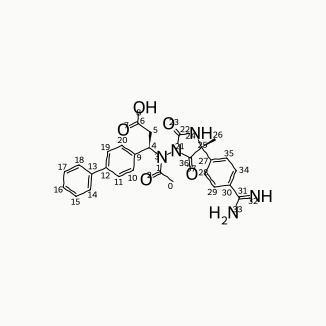 CC(=O)N([C@H](CC(=O)O)c1ccc(-c2ccccc2)cc1)N1C(=O)N[C@](C)(c2ccc(C(=N)N)cc2)C1=O